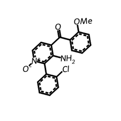 COc1ccccc1C(=O)c1cc[n+]([O-])c(-c2ccccc2Cl)c1N